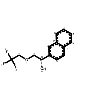 O[C@H](COCC(F)(F)F)c1ccc2ccccc2c1